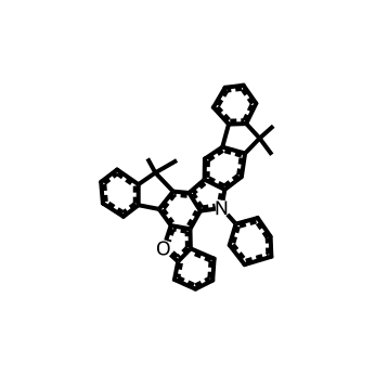 CC1(C)c2ccccc2-c2cc3c4c5c(c6oc7ccccc7c6c4n(-c4ccccc4)c3cc21)-c1ccccc1C5(C)C